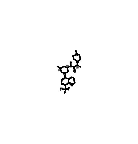 C[C@H]1C[C@@H](NC(=O)[C@H](C)N2CCN(C)CC2)CN(c2ccc(C(F)(F)F)c3ncccc23)C1